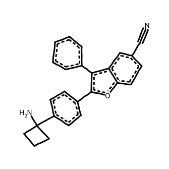 N#Cc1ccc2oc(-c3ccc(C4(N)CCC4)cc3)c(-c3ccccc3)c2c1